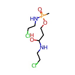 CP(=O)(NCCCl)OCCC(O)NCCCl